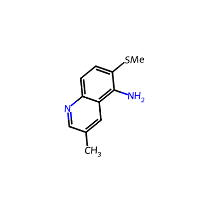 CSc1ccc2ncc(C)cc2c1N